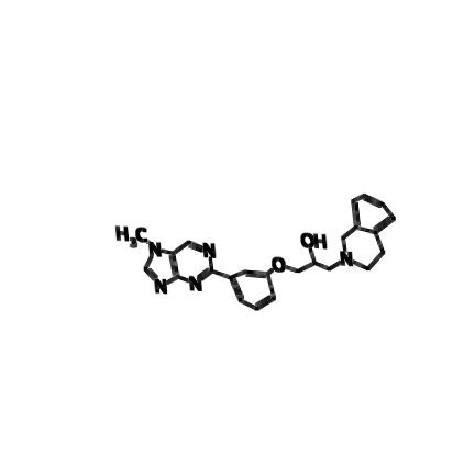 Cn1cnc2nc(-c3cccc(OCC(O)CN4CCc5ccccc5C4)c3)ncc21